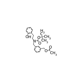 CC(=O)OCc1cccc(CN(CCc2ccccc2O)C(=O)OC(C)(C)C)c1